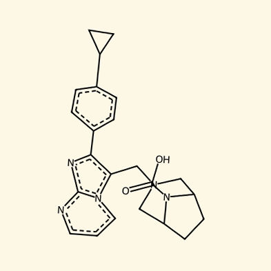 O=C(O)N1C2CCC1CN(Cc1c(-c3ccc(C4CC4)cc3)nc3ncccn13)C2